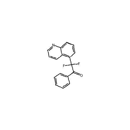 O=C(c1ccccc1)C(F)(F)c1cccc2ncccc12